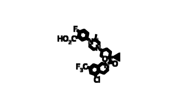 C[C@H]1CN(C2CC[C@@](C(=O)N3CCc4c(Cl)cc(C(F)(F)F)cc4C3)(C3CC3)OC2)CCN1c1ccc(F)c(C(=O)O)c1